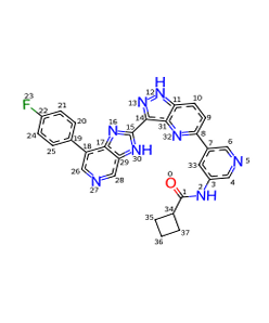 O=C(Nc1cncc(-c2ccc3[nH]nc(-c4nc5c(-c6ccc(F)cc6)cncc5[nH]4)c3n2)c1)C1CCC1